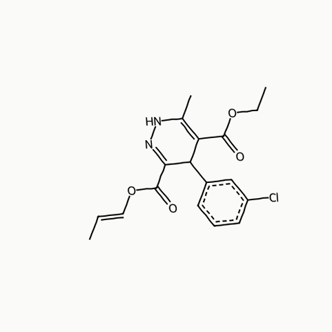 CC=COC(=O)C1=NNC(C)=C(C(=O)OCC)C1c1cccc(Cl)c1